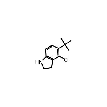 CC(C)(C)c1ccc2c(c1Cl)CCN2